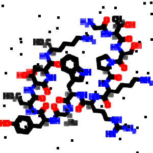 CC[C@H](C)[C@H](NC(=O)[C@H](Cc1c[nH]c2ccccc12)NC(=O)[C@H](CCCNC(=N)N)NC(=O)[C@H](CCCCN)NC(=O)[C@@H]1CCCN1C(=O)[C@H](CO)NC(=O)[C@@H](NC(=O)CN)[C@@H](C)O)C(=O)N[C@@H](Cc1ccc(O)cc1)C(=O)N[C@@H](CC(=O)O)C(=O)N[C@H](C(=O)N[C@@H](CO)C(=O)N[C@@H](CCCCN)C(=O)O)[C@@H](C)O